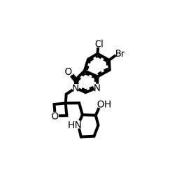 O=c1c2cc(Cl)c(Br)cc2ncn1CC1(CC2NCCCC2O)COC1